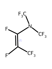 F/C(=C(\F)C(F)(F)F)N(C(F)(F)F)C(F)(F)F